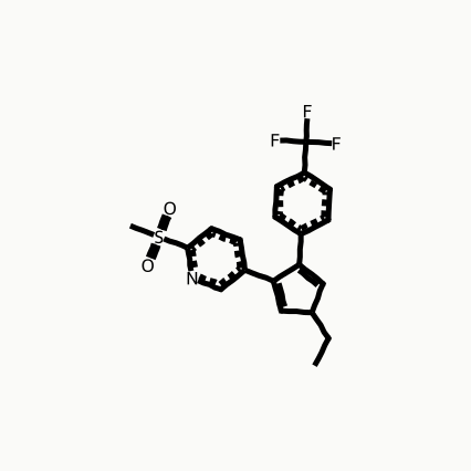 CCC1C=C(c2ccc(C(F)(F)F)cc2)C(c2ccc(S(C)(=O)=O)nc2)=C1